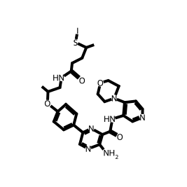 CC(CNC(=O)CCC(C)SI)Oc1ccc(-c2cnc(N)c(C(=O)Nc3cnccc3N3CCOCC3)n2)cc1